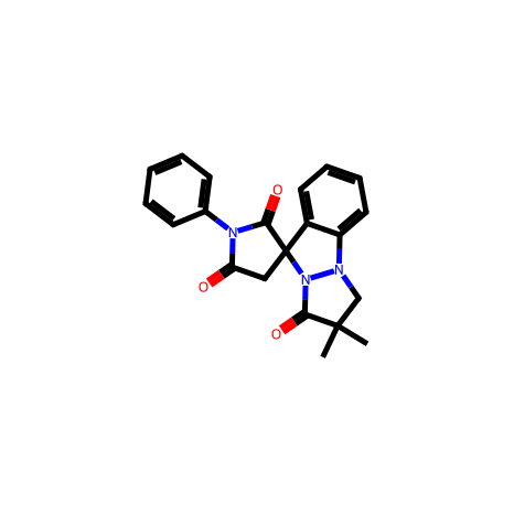 CC1(C)CN2c3ccccc3C3(CC(=O)N(c4ccccc4)C3=O)N2C1=O